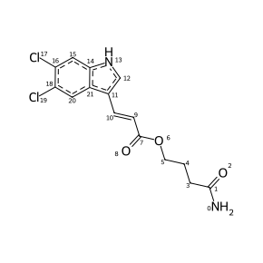 NC(=O)CCCOC(=O)C=Cc1c[nH]c2cc(Cl)c(Cl)cc12